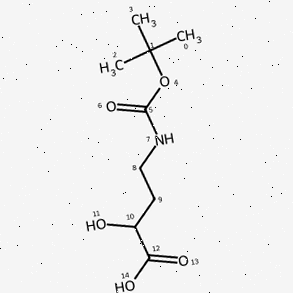 CC(C)(C)OC(=O)NCCC(O)C(=O)O